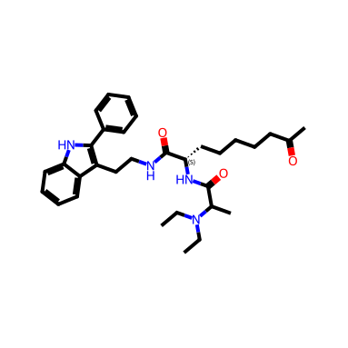 CCN(CC)C(C)C(=O)N[C@@H](CCCCCC(C)=O)C(=O)NCCc1c(-c2ccccc2)[nH]c2ccccc12